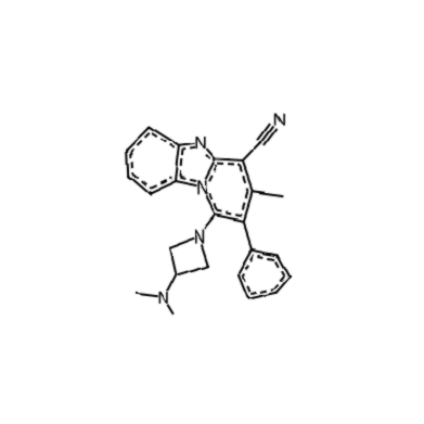 Cc1c(-c2ccccc2)c(N2CC(N(C)C)C2)n2c(nc3ccccc32)c1C#N